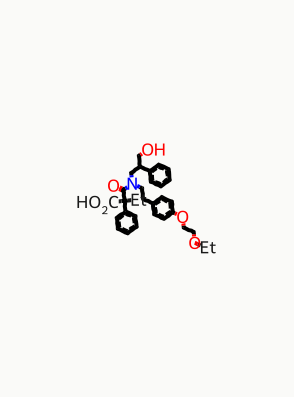 CCOCCOc1ccc(CCN(CC(CO)c2ccccc2)C(=O)C(CC)(C(=O)O)c2ccccc2)cc1